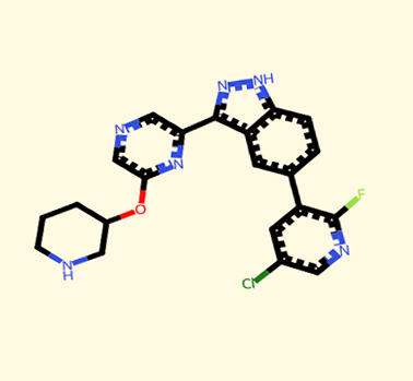 Fc1ncc(Cl)cc1-c1ccc2[nH]nc(-c3cncc(OC4CCCNC4)n3)c2c1